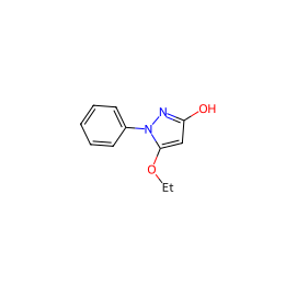 CCOc1cc(O)nn1-c1ccccc1